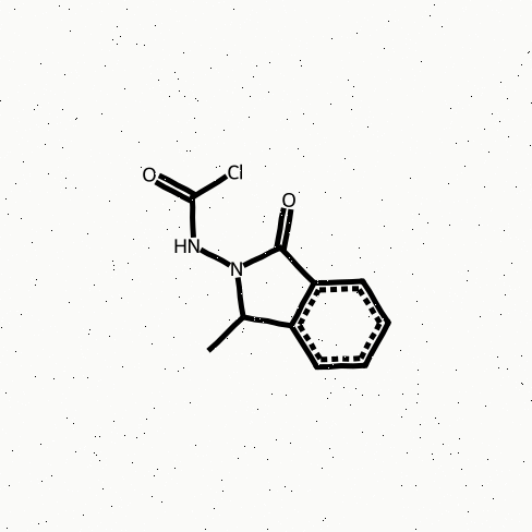 CC1c2ccccc2C(=O)N1NC(=O)Cl